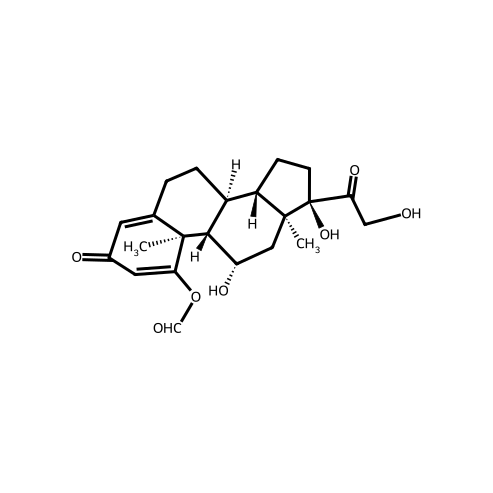 C[C@@]12C(=CC(=O)C=C1OC=O)CC[C@@H]1[C@@H]2[C@@H](O)C[C@@]2(C)[C@H]1CC[C@]2(O)C(=O)CO